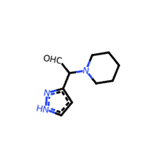 O=CC(c1cc[nH]n1)N1CCCCC1